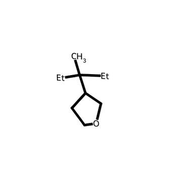 CCC(C)(CC)C1CCOC1